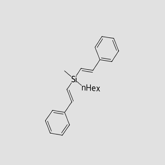 CCCCCC[Si](C)(C=Cc1ccccc1)C=Cc1ccccc1